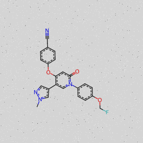 Cn1cc(-c2cn(-c3ccc(OCF)cc3)c(=O)cc2Oc2ccc(C#N)cc2)cn1